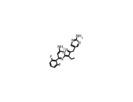 CCc1c(Cc2cnc(N)nc2)nn2c(N)cc(-c3c(F)cccc3F)nc12